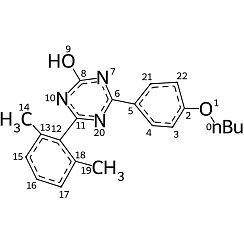 CCCCOc1ccc(-c2nc(O)nc(-c3c(C)cccc3C)n2)cc1